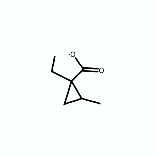 CCC1(C([O])=O)CC1C